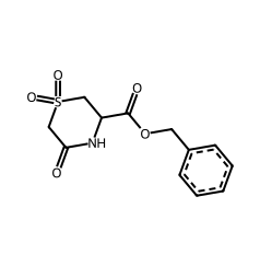 O=C1CS(=O)(=O)CC(C(=O)OCc2ccccc2)N1